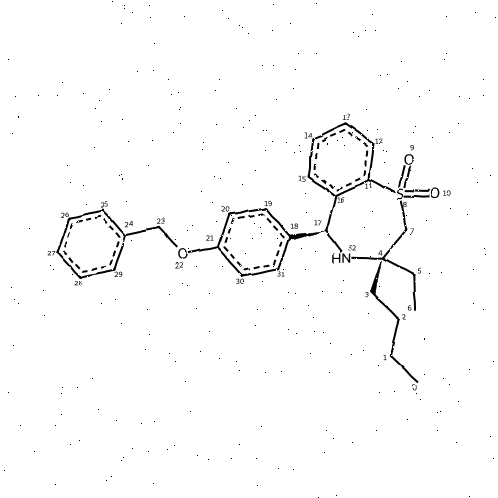 CCCC[C@]1(CC)CS(=O)(=O)c2ccccc2[C@H](c2ccc(OCc3ccccc3)cc2)N1